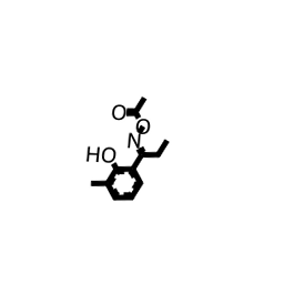 CCC(=NOC(C)=O)c1cccc(C)c1O